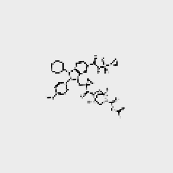 C=C(C)OC(=O)N1C[C@@H]2C[C@H]1CN2C(=O)C1(CN2c3cc(C(=O)NS(=O)(=O)C4CC4)ccc3C(C3CCCCC3)C2c2ccc(OC)cc2)CC1